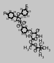 C[C@@H](OC(=O)N[C@@H](Cc1cccc(S(=O)(=O)N2CC(Oc3cccc(F)c3)(c3ccc(F)cc3)C2)c1)C(=O)O)OC(=O)C(C)(C)C